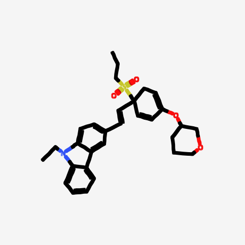 CCCS(=O)(=O)C1(C=Cc2ccc3c(c2)c2ccccc2n3CC)C=CC(OC2CCCOC2)=CC1